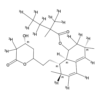 [2H]C1=C([2H])[C@]([2H])(C)[C@H](CCC2C[C@@H](O)C([2H])([2H])C(=O)O2)[C@@H]2C1=C([2H])[C@]([2H])(C)C([2H])([2H])C2OC(=O)C(C)(C([2H])([2H])[2H])C([2H])([2H])C([2H])([2H])[2H]